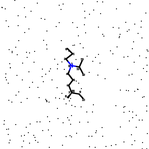 CCCN(CCC[C@H](C)CC)C(C)C